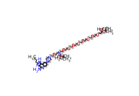 CCCCc1nc2c(N)nc3ccc(N4CCN(CCOCCN(CCOCCOCCOCCOCCOCCOCCOCCOCCC(=O)OC(C)(C)C)C(=O)OC(C)(C)C)CC4)cc3c2[nH]1